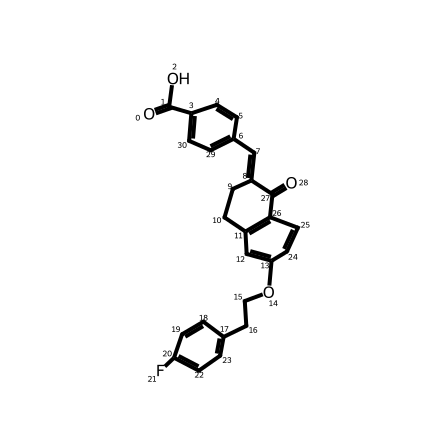 O=C(O)c1ccc(/C=C2\CCc3cc(OCCc4ccc(F)cc4)ccc3C2=O)cc1